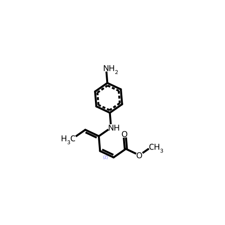 CC=C(/C=C\C(=O)OC)Nc1ccc(N)cc1